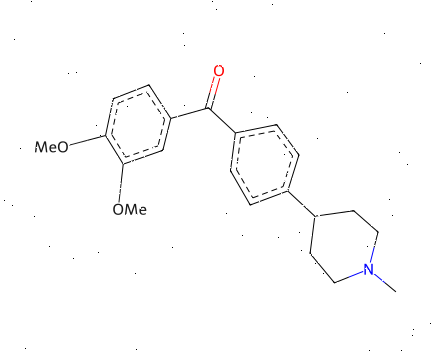 COc1ccc(C(=O)c2ccc(C3CCN(C)CC3)cc2)cc1OC